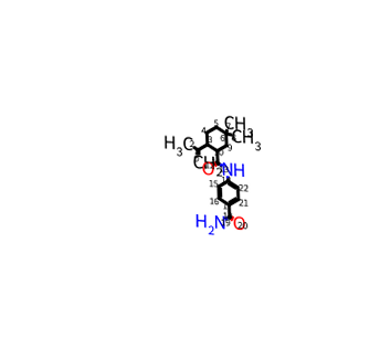 C=C(C)C1CCC(C)(C)CC1C(=O)Nc1ccc(C(N)=O)cc1